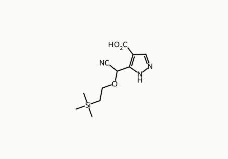 C[Si](C)(C)CCOC(C#N)c1[nH]ncc1C(=O)O